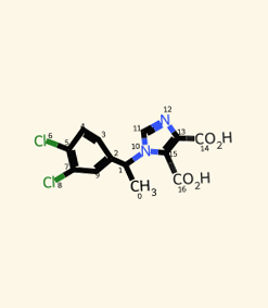 CC(c1ccc(Cl)c(Cl)c1)n1cnc(C(=O)O)c1C(=O)O